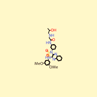 COc1cc(Nc2nc3ccccc3nc2N(c2cccc(NC(=O)CNCC(C)O)c2)[SH](=O)=O)cc(OC)c1